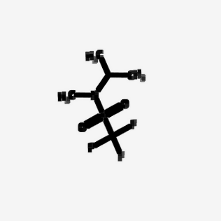 CC(C)N(C)S(=O)(=O)C(F)(F)F